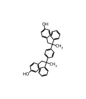 CC(Cc1ccc(O)cc1)(c1ccccc1)c1ccc(C(C)(Cc2ccc(O)cc2)c2ccccc2)cc1